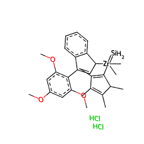 COc1cc(OC)c(C2=C[CH]([Zr]([CH3])([CH3])(=[SiH2])[C]3=C(C)C(C)=C(C)C3C)c3ccccc32)c(OC)c1.Cl.Cl